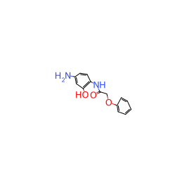 Nc1ccc(NC(=O)COc2ccccc2)c(O)c1